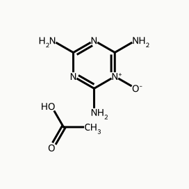 CC(=O)O.Nc1nc(N)[n+]([O-])c(N)n1